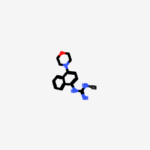 N#CNC(=N)Nc1ccc(N2CCOCC2)c2ccccc12